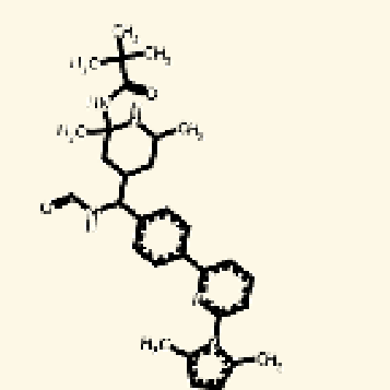 Cc1ccc(C)n1-c1cccc(-c2ccc(C(NC=O)C3CC(C)NC(C)(NC(=O)C(C)(C)C)C3)cc2)n1